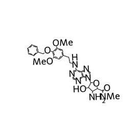 CNC(=O)C1OC(n2cnc3c(NCCc4cc(OC)c(OCc5ccccc5)c(OC)c4)ncnc32)C(O)C1N